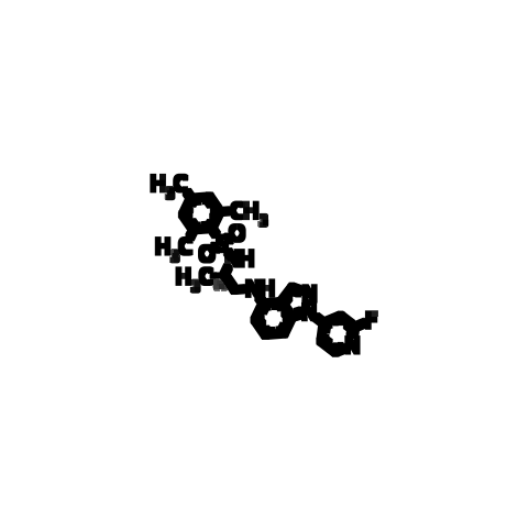 Cc1cc(C)c(S(=O)(=O)N[C@@H](C)CNc2cccc3c2cnn3-c2ccnc(F)c2)c(C)c1